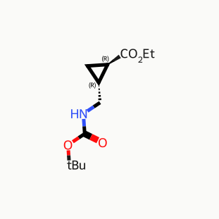 CCOC(=O)[C@@H]1C[C@H]1CNC(=O)OC(C)(C)C